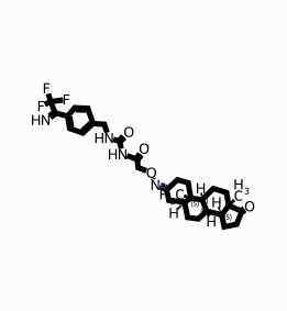 C[C@]12CC/C(=N\OCC(=O)NC(=O)NCc3ccc(C(=N)C(F)(F)F)cc3)C[C@@H]1CC[C@@H]1[C@@H]2CC[C@]2(C)C(=O)CC[C@@H]12